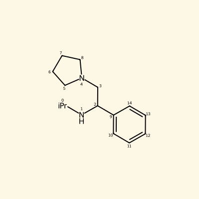 CC(C)NC(CN1CCCC1)c1ccccc1